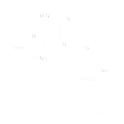 Nc1ncc(N2CCC(NC(=O)c3ccccc3)C2)nc1-c1nc2ccccc2[nH]1